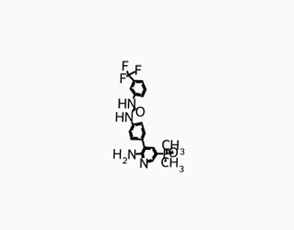 CP(C)(=O)c1cnc(N)c(-c2ccc(NC(=O)Nc3cccc(C(F)(F)F)c3)cc2)c1